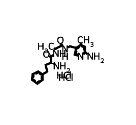 Cc1cc(N)ncc1CNC(=O)[C@H](C)NC(=O)[C@H](N)CCc1ccccc1.Cl.Cl